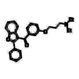 CCN(CC)CCCOc1cccc(C(=O)c2c(-c3ccccc3)oc3ccccc23)c1